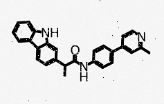 Cc1cc(-c2ccc(NC(=O)C(C)c3ccc4c(c3)[nH]c3ccccc34)cc2)ccn1